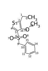 CCc1scc(S(=O)(=O)Cc2ccccc2)c1OC